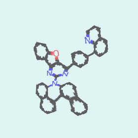 c1ccc2c3c(ccc2c1)N(c1nc(-c2ccc(-c4cccc5cccnc45)cc2)c2oc4ccccc4c2n1)c1cccc2cccc-3c12